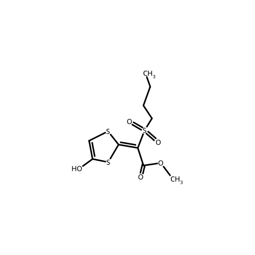 CCCCS(=O)(=O)C(C(=O)OC)=C1SC=C(O)S1